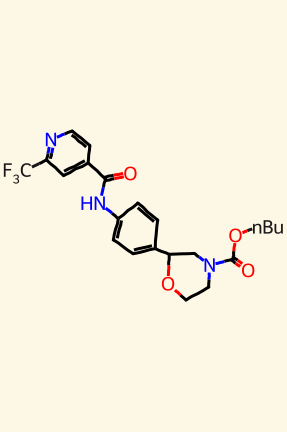 CCCCOC(=O)N1CCOC(c2ccc(NC(=O)c3ccnc(C(F)(F)F)c3)cc2)C1